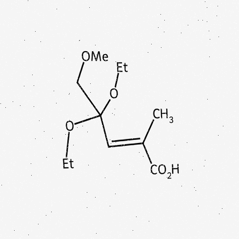 CCOC(C=C(C)C(=O)O)(COC)OCC